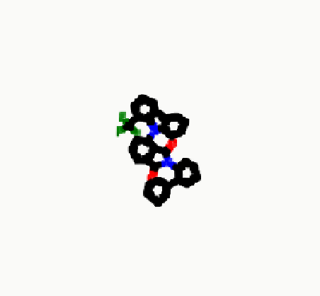 O=C1c2cccc(-n3c4ccccc4c4cccc(C(F)(F)F)c43)c2C(=O)N1c1ccccc1-c1ccccc1